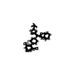 CC(C)(C)c1nnc(C(c2cc3ccccc3o2)N2CCN(c3c(Cl)cncc3Cl)CC2)o1